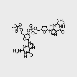 COP(=O)(O)OCC1OC(n2cnc3c(=O)[nH]c(N)nc32)C[C@@H]1OP(=O)(OC)OCC1CCC(n2cnc3c2NC(N)NC3=O)O1